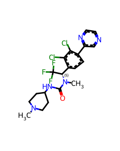 CN1CCC(NC(=O)N(C)[C@@H](c2ccc(-c3cnccn3)c(Cl)c2Cl)C(F)(F)F)CC1